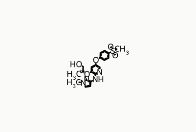 C[C@@H](CO)Oc1cc(Oc2ccc(S(C)(=O)=O)cc2)cnc1Nc1ccn(C)n1